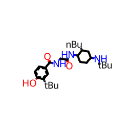 CCCCC1CC(NC(C)(C)C)CCC1NC(=O)CNC(=O)c1ccc(O)c(C(C)(C)C)c1